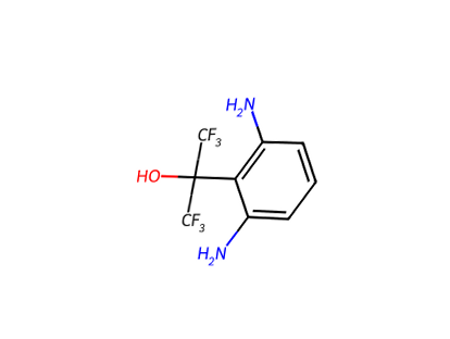 Nc1cccc(N)c1C(O)(C(F)(F)F)C(F)(F)F